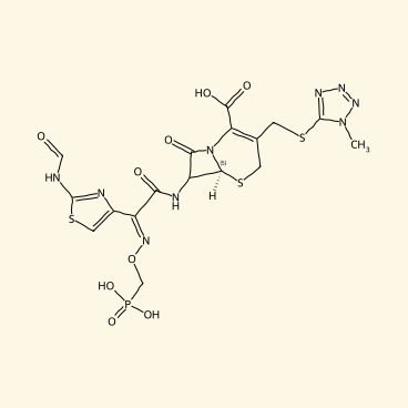 Cn1nnnc1SCC1=C(C(=O)O)N2C(=O)C(NC(=O)C(=NOCP(=O)(O)O)c3csc(NC=O)n3)[C@@H]2SC1